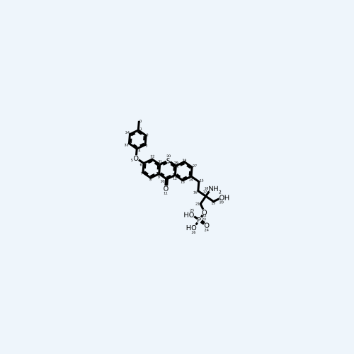 Cc1ccc(Oc2ccc3c(=O)c4cc(CCC(N)(CO)COP(=O)(O)O)ccc4sc3c2)cc1